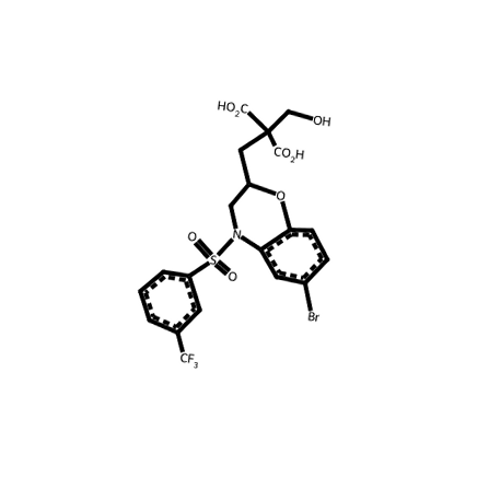 O=C(O)C(CO)(CC1CN(S(=O)(=O)c2cccc(C(F)(F)F)c2)c2cc(Br)ccc2O1)C(=O)O